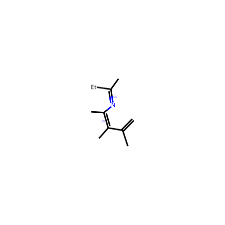 C=C(C)/C(C)=C(C)\N=C(\C)CC